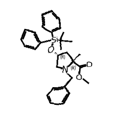 COC(=O)[C@@]1(C)C[C@@H](O[Si](c2ccccc2)(c2ccccc2)C(C)(C)C)CN1Cc1ccccc1